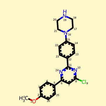 COc1ccc(-c2cc(Cl)nc(-c3ccc(N4CCNCC4)cc3)n2)cc1